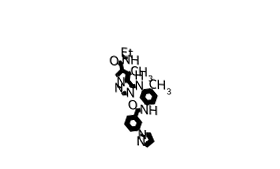 CCNC(=O)C1CN2N=CN=C(Nc3cc(NC(=O)c4cccc(-n5cccn5)c4)ccc3C)C2=C1C